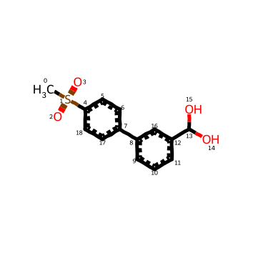 CS(=O)(=O)c1ccc(-c2cccc(C(O)O)c2)cc1